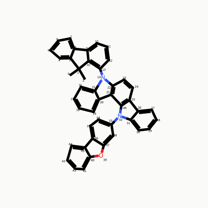 CC1(C)c2ccccc2-c2cccc(-n3c4ccccc4c4c3ccc3c5ccccc5n(-c5ccc6c(c5)oc5ccccc56)c34)c21